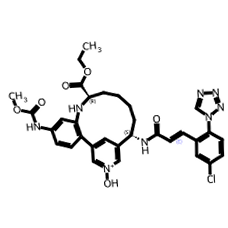 CCOC(=O)[C@H]1CCCC[C@H](NC(=O)/C=C/c2cc(Cl)ccc2-n2cnnn2)c2cc(c[n+](O)c2)-c2ccc(NC(=O)OC)cc2N1